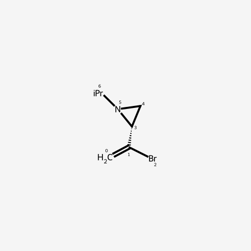 C=C(Br)[C@H]1CN1C(C)C